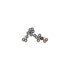 c1ccc(C2(c3ccccc3-c3ccc4c(c3)Sc3cccc5cccc-4c35)c3ccccc3-c3cc4cc(-c5cccc6c5-c5ccccc5[C@]65c6cc(-c7ccc8c(c7)Sc7cccc9cccc-8c79)ccc6-c6ccc7ccccc7c65)ccc4cc32)cc1